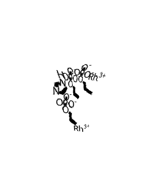 C=CCOP(=O)([O-])[O-].C=CCOP(=O)([O-])[O-].C=CCOP(=O)([O-])[O-].[Rh+3].[Rh+3].c1c[nH]cn1